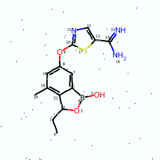 CCC1OB(O)c2cc(Oc3ncc(C(=N)N)s3)cc(C)c21